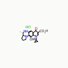 COc1c(N2CCCC2[C@H](C)N)ccc2c(=O)c(C(=O)O)cn(C3CC3)c12.Cl